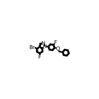 Fc1cc(Br)c2cnn(-c3ccc(OCc4ccccc4)c(F)c3)c2c1